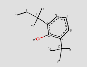 CCC(C)(C)c1cccc(C(C)(C)C)c1[O]